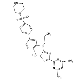 CCCN(c1nc(-c2nc(N)cc(N)n2)cs1)c1cc(-c2ccc(S(=O)(=O)N3CCNCC3)cc2)ccc1C